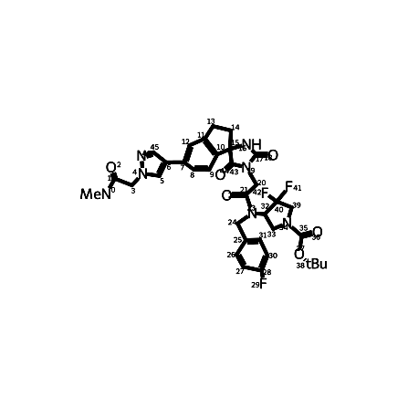 CNC(=O)Cn1cc(-c2ccc3c(c2)CCC32NC(=O)N(CC(=O)N(Cc3ccc(F)cc3)C3CN(C(=O)OC(C)(C)C)CC3(F)F)C2=O)cn1